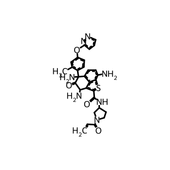 C=CC(=O)N1CCC(NC(=O)c2sc3c(N)ccc4c3c2C(N)C(=O)C4(N)c2ccc(Oc3cccnn3)cc2C)C1